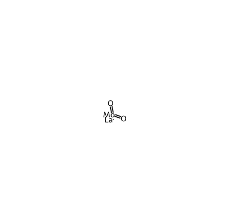 [La].[O]=[Mo]=[O]